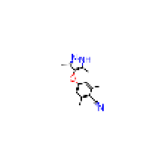 Cc1cc(Oc2c(C)n[nH]c2C)cc(C)c1C#N